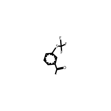 [CH2]C(=O)c1cccc(SC(F)(F)F)c1